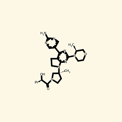 CC(C)[C@@H](O)C(=O)N1CC[C@](C)(N2CCc3c(-c4cnc(N)nc4)nc(N4CCOC[C@@H]4C)nc32)C1